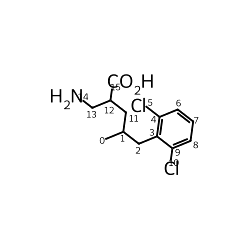 CC(Cc1c(Cl)cccc1Cl)CC(CN)C(=O)O